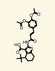 CC(=O)Oc1ccc(C=CC(=O)Nc2sc3c(c2C(=O)O)C(C(C)(C)C)CCC3)cc1OC(C)=O